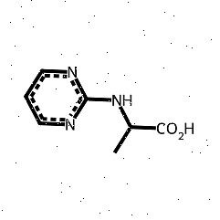 CC(Nc1ncccn1)C(=O)O